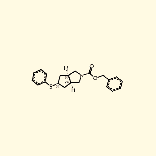 O=C(OCc1ccccc1)N1C[C@H]2C[C@@H](Sc3ccccc3)C[C@H]2C1